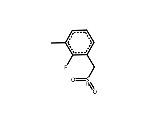 Cc1cccc(C[SH](=O)=O)c1F